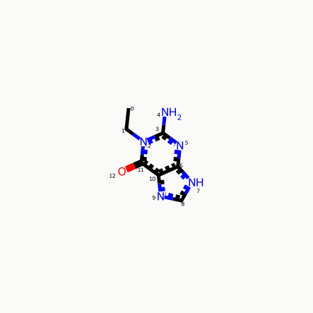 CCn1c(N)nc2[nH]cnc2c1=O